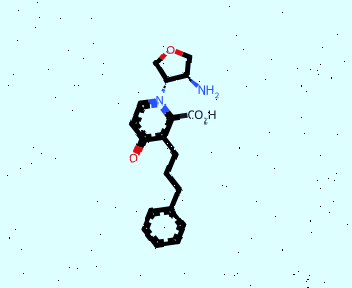 N[C@@H]1COC[C@H]1n1ccc(=O)c(CCCc2ccccc2)c1C(=O)O